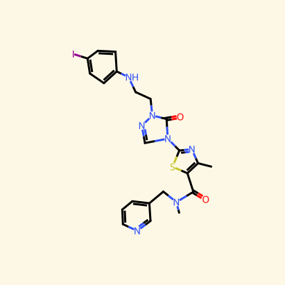 Cc1nc(-n2cnn(CCNc3ccc(I)cc3)c2=O)sc1C(=O)N(C)Cc1cccnc1